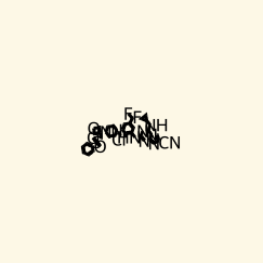 N#Cc1cn2c(NC3CC3)nc(Nc3cc(C(F)F)cc(N4CCN(C5(CS(=O)(=O)c6ccccc6)COC5)CC4)c3Cl)nc2n1